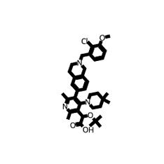 COc1cccc(CN2CCc3cc(-c4c(C)nc(C)c(C(OC(C)(C)C)C(=O)O)c4N4CCC(C)(C)CC4)ccc3C2)c1Cl